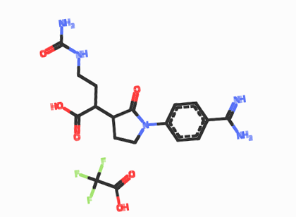 N=C(N)c1ccc(N2CCC(C(CCNC(N)=O)C(=O)O)C2=O)cc1.O=C(O)C(F)(F)F